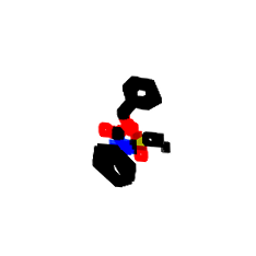 CS(=O)(=O)NC12CC3CC(C1)C(NC(=O)OCc1ccccc1)C(C3)C2